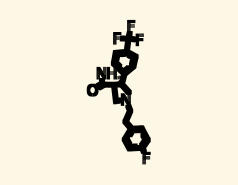 NC(=O)C1CN(CCc2ccc(F)cc2)CC1c1ccc(C(F)(F)F)cc1